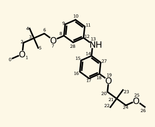 COCC(C)(C)COc1cccc(Nc2cccc(OCC(C)(C)COC)c2)c1